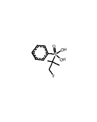 CC(C)(CF)S(=O)(O)(O)c1ccccc1